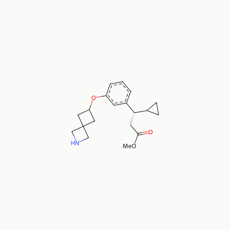 COC(=O)C[C@H](c1cccc(OC2CC3(CNC3)C2)c1)C1CC1